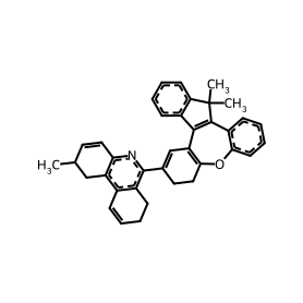 CC1C=Cc2nc(C3=CC4=C(CC3)Oc3ccccc3C3=C4c4ccccc4C3(C)C)c3c(c2C1)C=CCC3